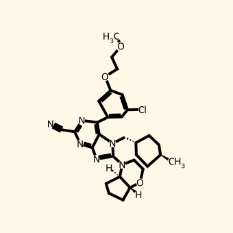 COCCOc1cc(Cl)cc(-c2nc(C#N)nc3nc(N4CCO[C@@H]5CCC[C@H]54)n(C[C@H]4CC[C@H](C)CC4)c23)c1